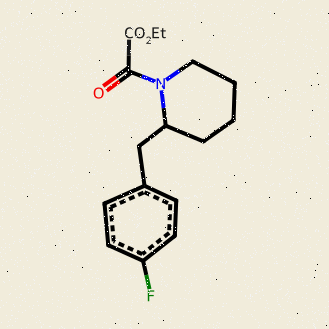 CCOC(=O)C(=O)N1CCCCC1Cc1ccc(F)cc1